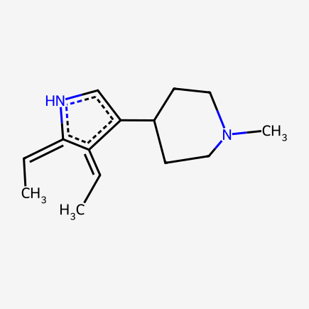 C/C=c1/c(C2CCN(C)CC2)c[nH]/c1=C/C